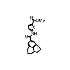 COC(=O)c1ccc(NC(=O)c2cc3c4c(c2)CCCC4CCC3)s1